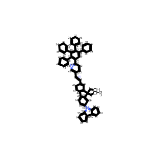 CCC1(CC)c2cc(/C=C/c3ccc(-c4cc(-c5ccccc5)c(C5=CCCC=C5)c(C5=CCCC=C5)c4-c4ccccc4)nc3)ccc2-c2ccc(-n3c4ccccc4c4ccccc43)cc21